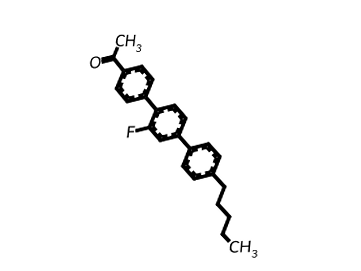 CCCCCc1ccc(-c2ccc(-c3ccc(C(C)=O)cc3)c(F)c2)cc1